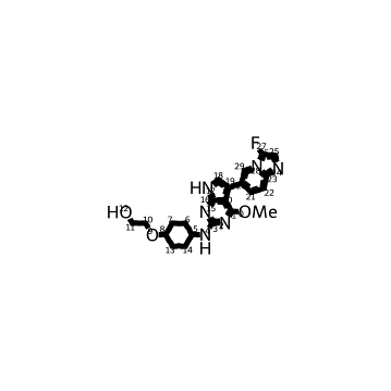 COc1nc(NC2CCC(OCCO)CC2)nc2[nH]cc(-c3ccc4ncc(F)n4c3)c12